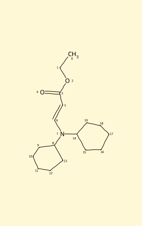 CCOC(=O)C=CN(C1CCCCC1)C1CCCCC1